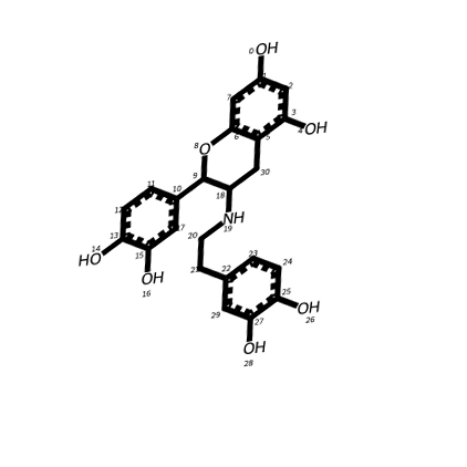 Oc1cc(O)c2c(c1)OC(c1ccc(O)c(O)c1)C(NCCc1ccc(O)c(O)c1)C2